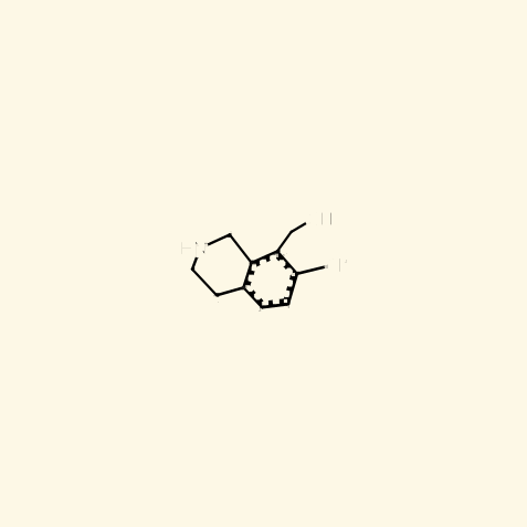 CCc1c(Cl)ccc2c1CNCC2